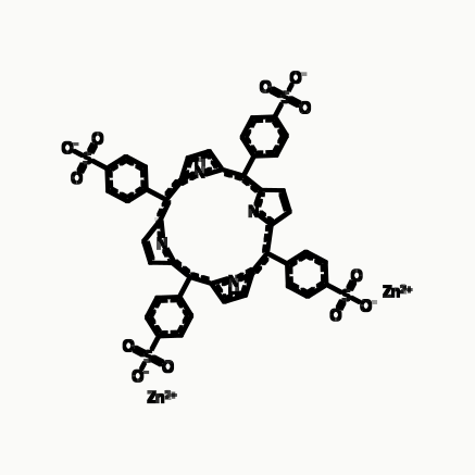 O=S(=O)([O-])c1ccc(-c2c3nc(c(-c4ccc(S(=O)(=O)[O-])cc4)c4ccc([nH]4)c(-c4ccc(S(=O)(=O)[O-])cc4)c4nc(c(-c5ccc(S(=O)(=O)[O-])cc5)c5ccc2[nH]5)C=C4)C=C3)cc1.[Zn+2].[Zn+2]